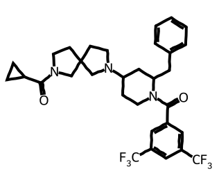 O=C(C1CC1)N1CCC2(CCN(C3CCN(C(=O)c4cc(C(F)(F)F)cc(C(F)(F)F)c4)C(Cc4ccccc4)C3)C2)C1